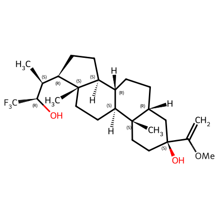 C=C(OC)[C@]1(O)CC[C@@]2(C)[C@H](CC[C@@H]3[C@@H]2CC[C@]2(C)[C@@H]([C@H](C)[C@@H](O)C(F)(F)F)CC[C@@H]32)C1